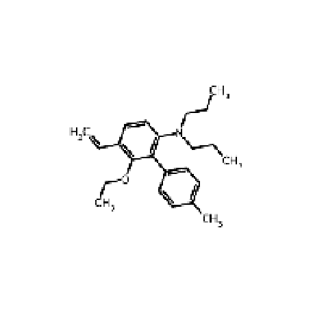 C=Cc1ccc(N(CCC)CCC)c(-c2ccc(C)cc2)c1OCC